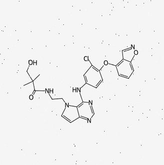 CC(C)(CO)C(=O)NCCn1ccc2ncnc(Nc3ccc(Oc4cccc5oncc45)c(Cl)c3)c21